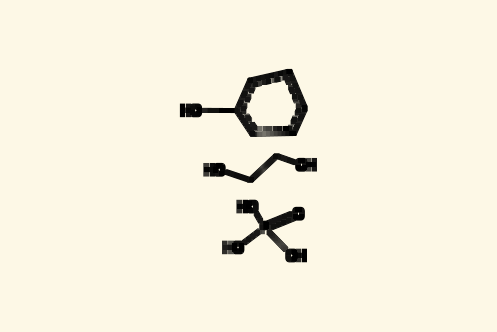 O=P(O)(O)O.OCCO.Oc1ccccc1